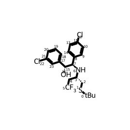 CC(C)(C)SC[C@H](CC(F)(F)F)N[C@H](c1ccc(Cl)cc1)[C@H](O)c1cccc(Cl)c1